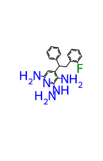 NNc1nc(N)cc(C(Cc2ccccc2F)c2ccccc2)c1N